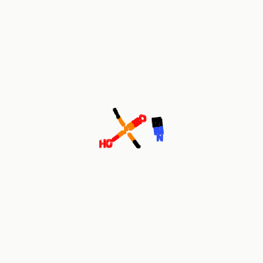 C#N.CP(C)(=O)O